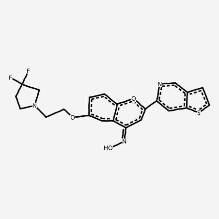 O/N=c1/cc(-c2cc3sccc3cn2)oc2ccc(OCCN3CCC(F)(F)C3)cc12